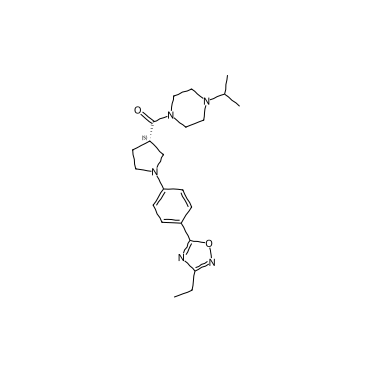 CCc1noc(-c2ccc(N3CC[C@H](C(=O)N4CCN(C(C)C)CC4)C3)cc2)n1